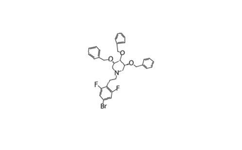 Fc1cc(Br)cc(F)c1CCN1C[C@H](OCc2ccccc2)C(OCc2ccccc2)[C@H](OCc2ccccc2)C1